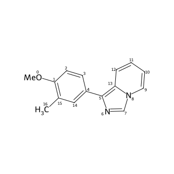 COc1ccc(-c2ncn3ccccc23)cc1C